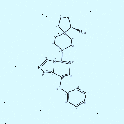 N[C@@H]1CCCC12CCN(c1ncc(Sc3ccccc3)c3nncn13)CC2